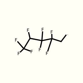 [CH2]CC(F)(F)C(F)(F)C(F)C(F)(F)F